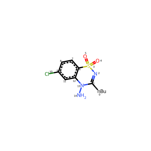 CCCCC1=NS(=O)(=O)c2ccc(Cl)cc2N1N